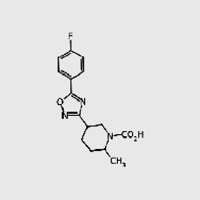 CC1CCC(c2noc(-c3ccc(F)cc3)n2)CN1C(=O)O